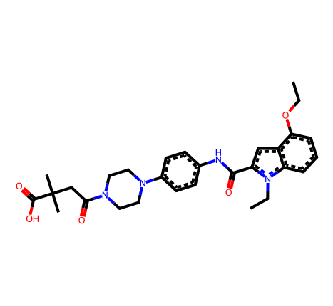 CCOc1cccc2c1cc(C(=O)Nc1ccc(N3CCN(C(=O)CC(C)(C)C(=O)O)CC3)cc1)n2CC